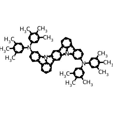 Cc1cc(N(c2cc(C)c(C)c(C)c2)c2ccc3c4cccc5c6cc7c(cc6n(c3c2)c45)c2cccc3c4ccc(N(c5cc(C)c(C)c(C)c5)c5cc(C)c(C)c(C)c5)cc4n7c32)cc(C)c1C